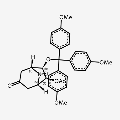 CCN1[C@@H]2CC(=O)C[C@H]1[C@H](OC(C)=O)[C@@H]2OC(c1ccc(OC)cc1)(c1ccc(OC)cc1)c1ccc(OC)cc1